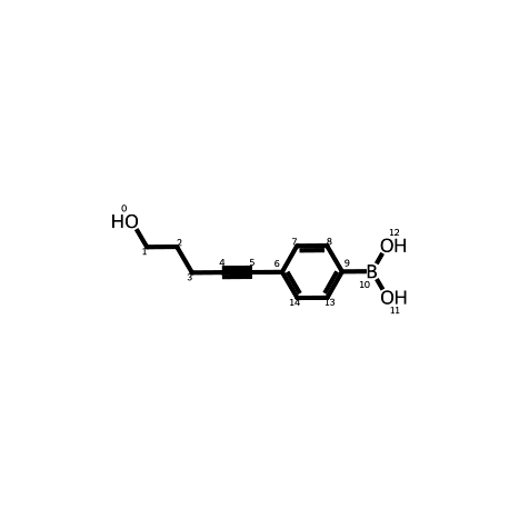 OCCCC#Cc1ccc(B(O)O)cc1